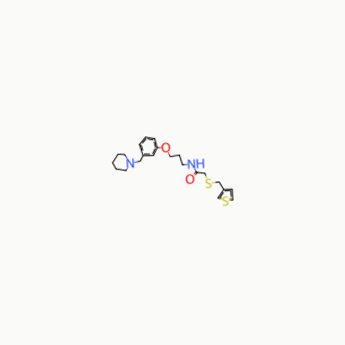 O=C(CSCc1ccsc1)NCCCOc1cccc(CN2CCCCC2)c1